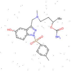 Cc1ccc(S(=O)(=O)n2nc(CN(C)CCC(OC(N)=O)C(C)(C)C)c3cc(O)ccc32)cc1